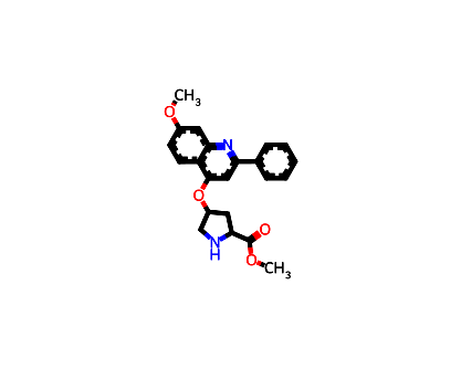 COC(=O)C1CC(Oc2cc(-c3ccccc3)nc3cc(OC)ccc23)CN1